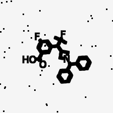 CC(C)(F)C(c1cc(F)cc(C(=O)O)c1)C1CN(C(c2ccccc2)c2ccccc2)C1